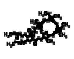 CCNCCCCNC(=O)CCC1=C(C)c2cc3[nH]c(cc4nc(cc5[nH]c(cc1n2)c(CCC(=O)NCCCCNCC)c5C)C(CC)=C4C)c(CC)c3C